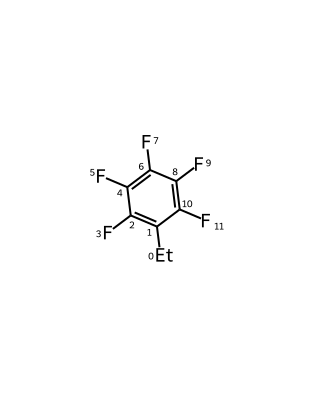 [CH2]Cc1c(F)c(F)c(F)c(F)c1F